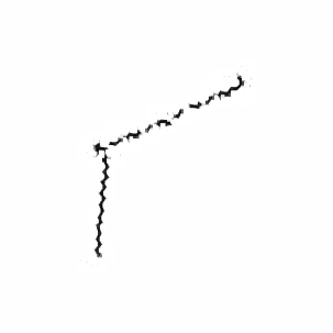 CNC(CCCCNC(=O)COCCOCCNC(=O)COCCOCCNC(=O)CC[C@H](NC(=O)CCCCCCCCCCCCCCCCC(=O)O)C(=O)O)C(=O)O